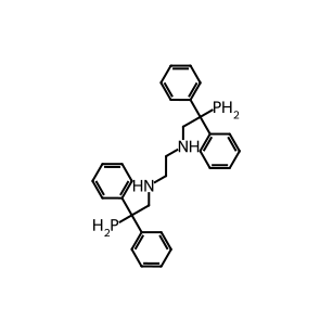 PC(CNCCNCC(P)(c1ccccc1)c1ccccc1)(c1ccccc1)c1ccccc1